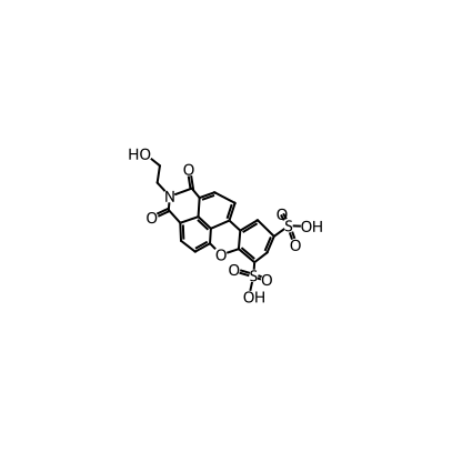 O=c1c2ccc3oc4c(S(=O)(=O)O)cc(S(=O)(=O)O)cc4c4ccc(c(=O)n1CCO)c2c34